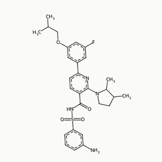 CC(C)COc1cc(F)cc(-c2ccc(C(=O)NS(=O)(=O)c3cccc(N)c3)c(N3CCC(C)C3C)n2)c1